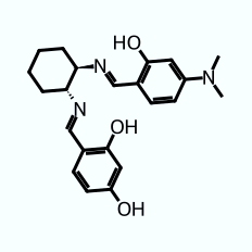 CN(C)c1ccc(/C=N/[C@@H]2CCCC[C@H]2/N=C/c2ccc(O)cc2O)c(O)c1